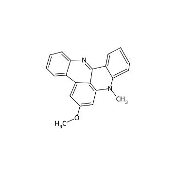 COc1cc2c3c(nc4ccccc4c3c1)-c1ccccc1N2C